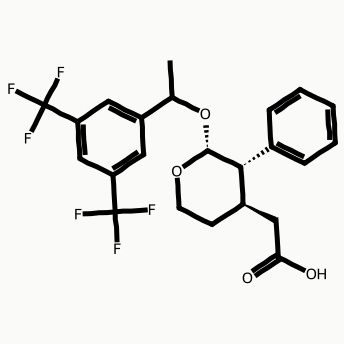 CC(O[C@H]1OCC[C@H](CC(=O)O)[C@H]1c1ccccc1)c1cc(C(F)(F)F)cc(C(F)(F)F)c1